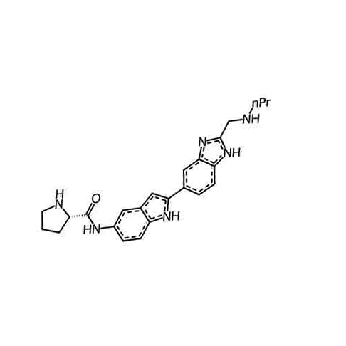 CCCNCc1nc2cc(-c3cc4cc(NC(=O)[C@@H]5CCCN5)ccc4[nH]3)ccc2[nH]1